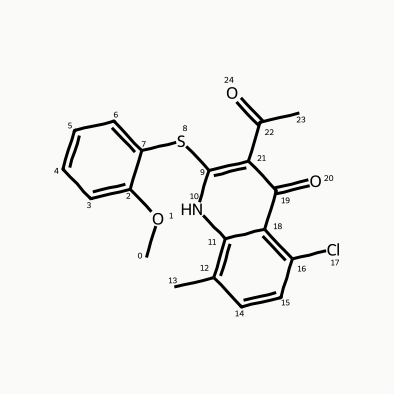 COc1ccccc1Sc1[nH]c2c(C)ccc(Cl)c2c(=O)c1C(C)=O